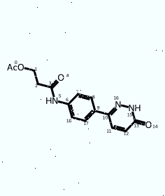 CC(=O)OCCC(=O)Nc1ccc(-c2ccc(=O)[nH]n2)cc1